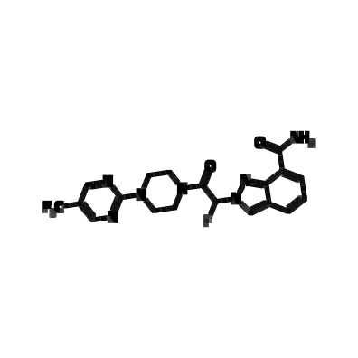 NC(=O)c1cccc2cn(C(F)C(=O)N3CCN(c4ncc(C(F)(F)F)cn4)CC3)nc12